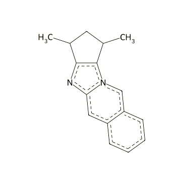 CC1CC(C)c2c1nc1cc3ccccc3cn21